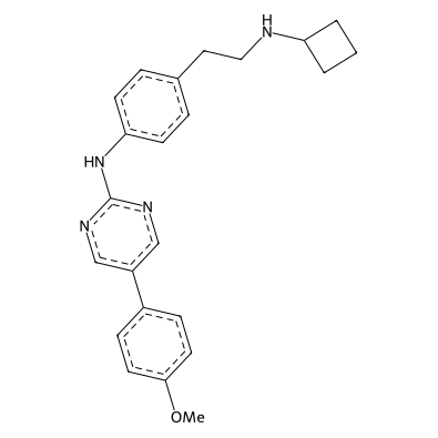 COc1ccc(-c2cnc(Nc3ccc(CCNC4CCC4)cc3)nc2)cc1